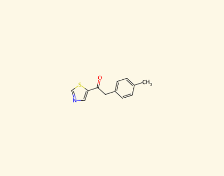 Cc1ccc(CC(=O)c2cncs2)cc1